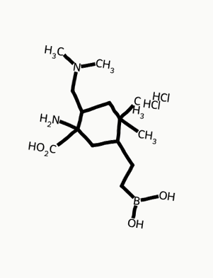 CN(C)CC1CC(C)(C)C(CCB(O)O)CC1(N)C(=O)O.Cl.Cl